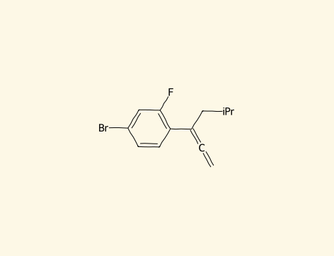 C=C=C(CC(C)C)c1ccc(Br)cc1F